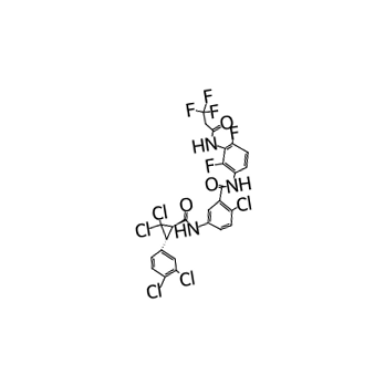 O=C(CC(F)(F)F)Nc1c(F)ccc(NC(=O)c2cc(NC(=O)[C@H]3[C@H](c4ccc(Cl)c(Cl)c4)C3(Cl)Cl)ccc2Cl)c1F